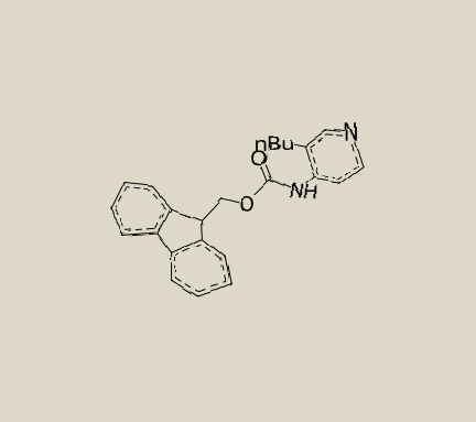 CCCCc1cnccc1NC(=O)OCC1c2ccccc2-c2ccccc21